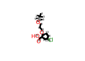 CC(C)(C)[Si](C)(C)OCCCOc1ccc(Cl)cc1C(=O)O